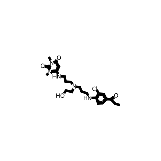 CCC(=O)c1ccc(NCCCN(CCO)CCCNc2cc(=O)n(C)c(=O)n2C)c(Cl)c1